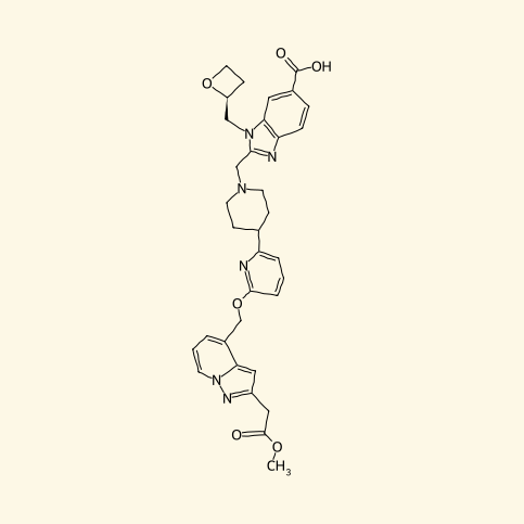 COC(=O)Cc1cc2c(COc3cccc(C4CCN(Cc5nc6ccc(C(=O)O)cc6n5C[C@@H]5CCO5)CC4)n3)cccn2n1